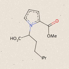 COC(=O)c1cccn1C(CCC(C)C)C(=O)O